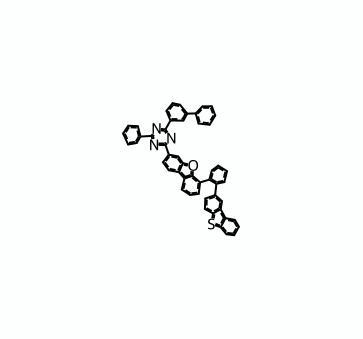 c1ccc(-c2cccc(-c3nc(-c4ccccc4)nc(-c4ccc5c(c4)oc4c(-c6ccccc6-c6ccc7sc8ccccc8c7c6)cccc45)n3)c2)cc1